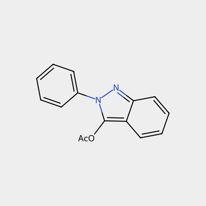 CC(=O)Oc1c2ccccc2nn1-c1ccccc1